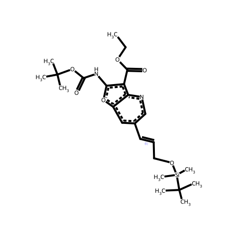 CCOC(=O)c1c(NC(=O)OC(C)(C)C)oc2cc(/C=C/CO[Si](C)(C)C(C)(C)C)cnc12